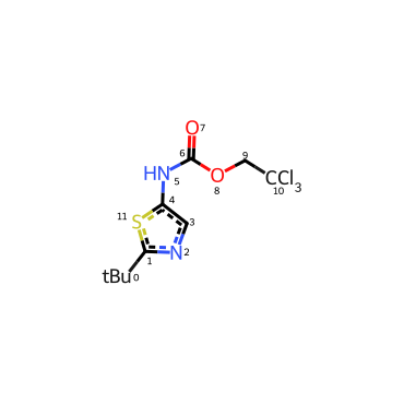 CC(C)(C)c1ncc(NC(=O)OCC(Cl)(Cl)Cl)s1